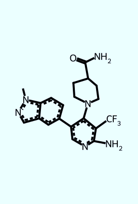 Cn1ncc2cc(-c3cnc(N)c(C(F)(F)F)c3N3CCC(C(N)=O)CC3)ccc21